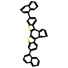 c1ccc2c(-c3ccc4c(c3)sc3c5sc6cc(-c7cccc8ccccc78)ccc6c5c5ccccc5c43)cccc2c1